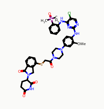 COc1cc(N2CCN(C(=O)CSc3cccc4c3CN(C3CCC(=O)NC3=O)C4=O)CC2)ccc1Nc1ncc(Cl)c(Nc2ccccc2P(C)(C)=O)n1